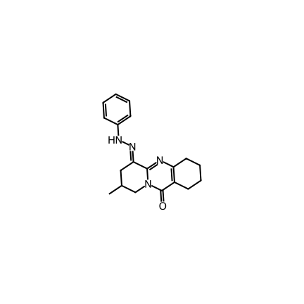 CC1CC(=NNc2ccccc2)c2nc3c(c(=O)n2C1)CCCC3